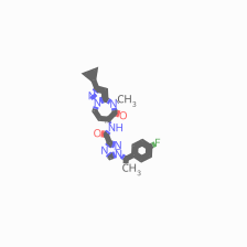 CC(c1ccc(F)cc1)n1cnc(C(=O)N[C@H]2CCn3nc(C4CC4)cc3N(C)C2=O)n1